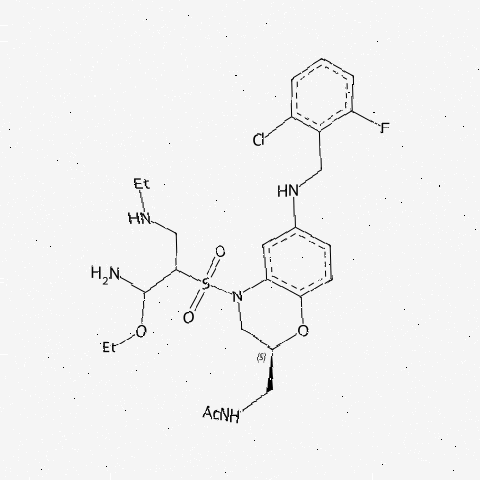 CCNCC(C(N)OCC)S(=O)(=O)N1C[C@H](CNC(C)=O)Oc2ccc(NCc3c(F)cccc3Cl)cc21